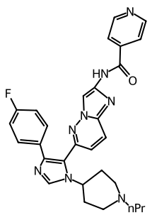 CCCN1CCC(n2cnc(-c3ccc(F)cc3)c2-c2ccc3nc(NC(=O)c4ccncc4)cn3n2)CC1